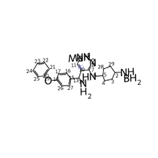 BNC1CCC(NC(=NNC)/C(=C\N)C(N)c2ccc(Oc3ccccc3)cc2)CC1